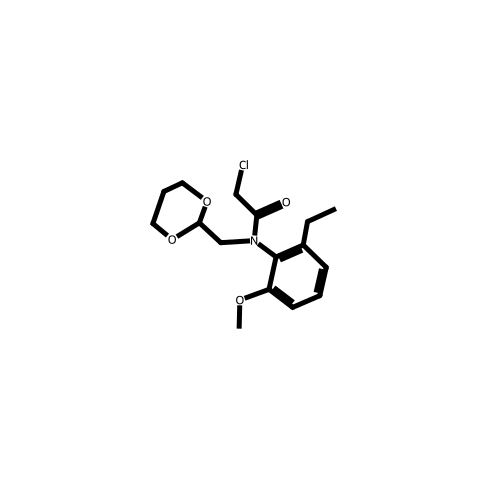 CCc1cccc(OC)c1N(CC1OCCCO1)C(=O)CCl